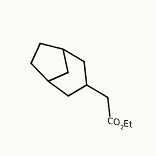 CCOC(=O)CC1CC2CCC(C2)C1